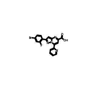 O=C(O)c1cc(-c2ccccn2)n2nc(-c3ccc(Br)cc3F)cc2n1